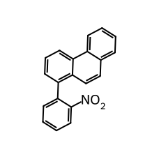 O=[N+]([O-])c1ccccc1-c1cccc2c1ccc1ccccc12